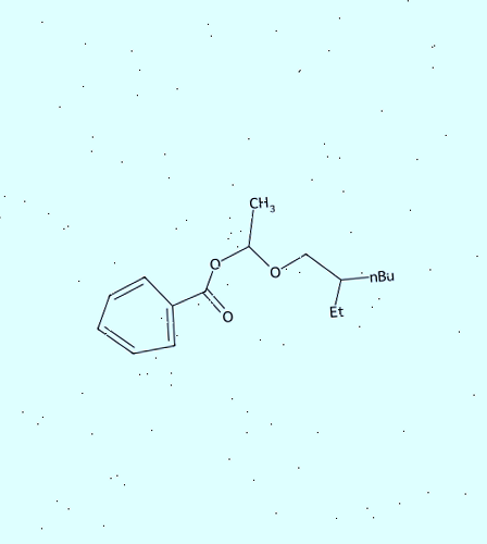 CCCCC(CC)COC(C)OC(=O)c1ccccc1